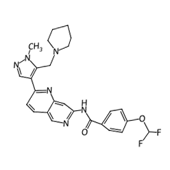 Cn1ncc(-c2ccc3cnc(NC(=O)c4ccc(OC(F)F)cc4)cc3n2)c1CN1CCCCC1